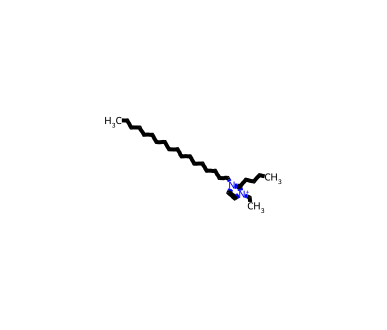 CCCCCCCCCCCCCCCCCCn1cc[n+](CC)c1CCCC